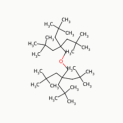 CC(C)(C)CC(COCC(CC(C)(C)C)(CC(C)(C)C)CC(C)(C)C)(CC(C)(C)C)CC(C)(C)C